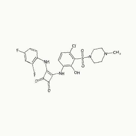 CN1CCN(S(=O)(=O)c2c(Cl)ccc(Nc3c(Nc4ccc(F)cc4F)c(=O)c3=O)c2O)CC1